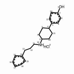 Cl.Oc1ccc(C2CCC(NCCCc3ccccc3)CC2)cc1